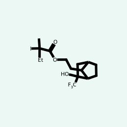 CCC(C)(I)C(=O)OCCC1C2CCC1C(O)(C(F)(F)F)C2